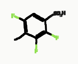 Cc1c(F)cc(S(=O)(=O)O)c(F)c1F